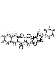 Cn1c(-c2ccccc2)nc2oc(/C=C3\C(=O)Oc4cc5ccccc5cc4C3=O)nc21